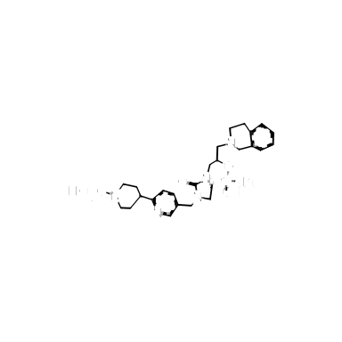 CC(C)(C)[Si](C)(C)OC(CN1CCc2ccccc2C1)CN1CCN(Cc2ccc(C3CCN(C(=O)O)CC3)nc2)C1=O